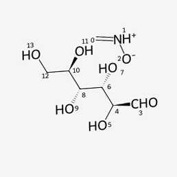 C=[NH+][O-].O=C[C@@H](O)[C@@H](O)[C@H](O)[C@H](O)CO